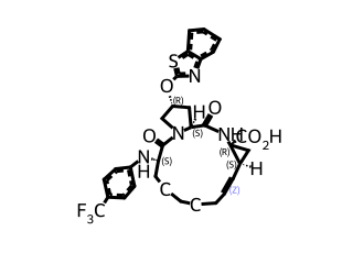 O=C1N[C@]2(C(=O)O)C[C@H]2/C=C\CCCCC[C@H](Nc2ccc(C(F)(F)F)cc2)C(=O)N2C[C@H](Oc3nc4ccccc4s3)C[C@@H]12